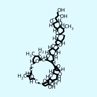 C=C1C[C@@H]2CC[C@@]34C[C@]5(O)O[C@H]6[C@@H](O3)[C@H]3O[C@H](CC[C@@H]3O[C@H]6C5O4)CC(=O)C[C@@H]3C[C@@H]4O[C@@H]5C[C@]6(C[C@@H]7O[C@@]8(CC[C@@H]7O6)C[C@H](C)[C@@H]6O[C@@H]7[C@@H]([C@@H](O)CO)CO[C@@H]7C[C@@H]6O8)O[C@@H]5C[C@@H]4O[C@H]3C[C@H]3O[C@@H](CC[C@@H]1O2)C[C@@H](C)C3=C